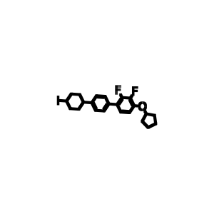 Fc1c(OC2CCCC2)ccc(-c2ccc(C3CCC(I)CC3)cc2)c1F